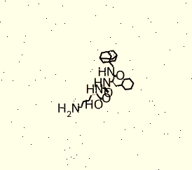 NCCCC[C@H](NC(=O)N[C@H](CC1CCCCC1)C(=O)NCC12CC3CC(CC(C3)C1)C2)C(=O)O